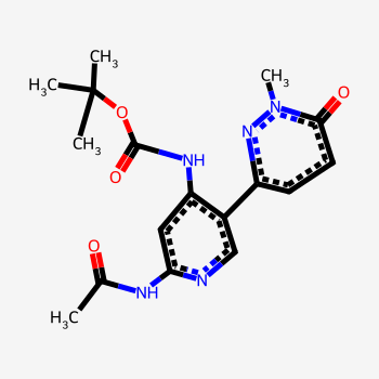 CC(=O)Nc1cc(NC(=O)OC(C)(C)C)c(-c2ccc(=O)n(C)n2)cn1